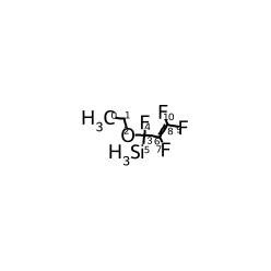 CCOC(F)([SiH3])C(F)=C(F)F